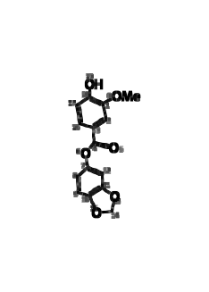 COc1cc(C(=O)Oc2ccc3c(c2)OCO3)ccc1O